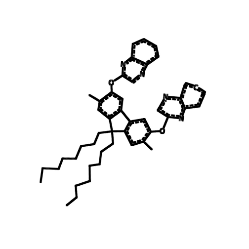 CCCCCCCCC1(CCCCCCCC)c2cc(C)c(Oc3cnc4ccccc4n3)cc2-c2cc(Oc3cnc4ccccc4n3)c(C)cc21